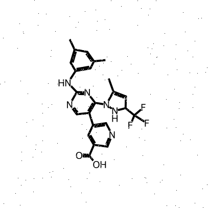 CC1=CC(C(F)(F)F)NN1c1nc(Nc2cc(C)cc(C)c2)ncc1-c1cncc(C(=O)O)c1